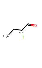 CC[C@@H](F)[C]=O